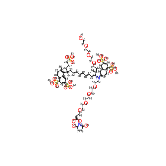 COCCOCCOCCOCCC1(C)\C(=C/C=C/C=C/C=C/CC(C)(CCCS(=O)(=O)OC)c2c(C)ccc3c(S(=O)(=O)OC)cc(S(=O)(=O)OC)cc23)N(CCOCCOCCOCCOCCC(=O)ON2C(=O)CCC2=O)c2ccc3c(S(=O)(=O)OC)cc(S(=O)(=O)OC)cc3c21